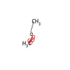 CCCCCCCCCc1ccc(C(=O)CC(=O)C(=O)OC)cc1